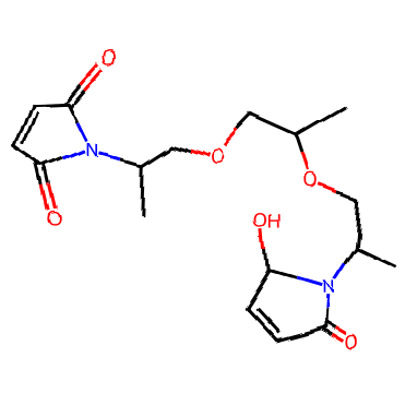 CC(COCC(C)N1C(=O)C=CC1=O)OCC(C)N1C(=O)C=CC1O